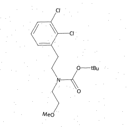 COCCN(CCc1cccc(Cl)c1Cl)C(=O)OC(C)(C)C